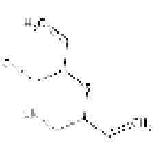 C=CC(CCl)SC(C=C)CCl